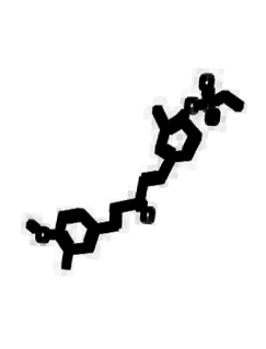 CCS(=O)(=O)Oc1ccc(/C=C/C(=O)/C=C/c2ccc(OC)c(C)c2)cc1C